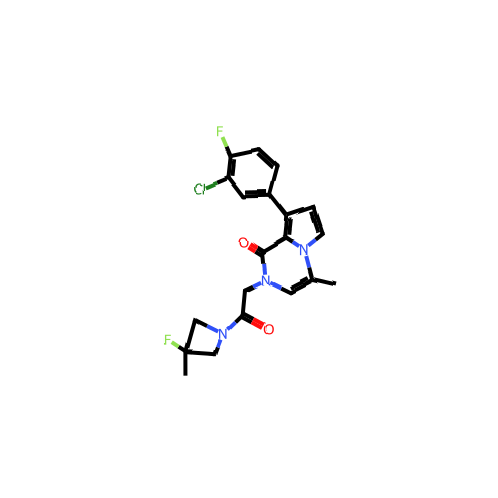 Cc1cn(CC(=O)N2CC(C)(F)C2)c(=O)c2c(-c3ccc(F)c(Cl)c3)ccn12